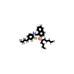 CCCCCC(CCCC)Oc1ccc2ccccc2c1-c1nc2ccc(CCCC)cc2s1